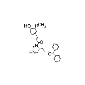 COc1cc(C=CC(=O)N2CCNCC2CCCOC(c2ccccc2)c2ccccc2)ccc1O